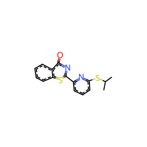 CC(C)Sc1cccc(-c2nc(=O)c3ccccc3s2)n1